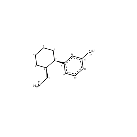 NC[C@H]1CCCC[C@H]1c1cccc(O)c1